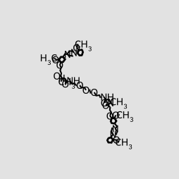 COc1cc(CN2CCN(c3ccccc3OC)CC2)ccc1OCCCC(=O)N(C)CC(=O)NCCCOCCOCCOCCCNC(=O)CN(C)C(=O)CCCOc1ccc(CN2CCN(c3ccccc3OC)CC2)cc1OC